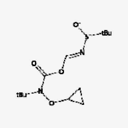 CC(C)(C)N(OC1CC1)C(=O)OC=N[S+]([O-])C(C)(C)C